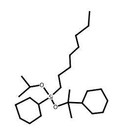 CCCCCCCC[Si](OC(C)C)(OC(C)(C)C1CCCCC1)C1CCCCC1